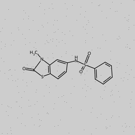 Cn1c(=O)sc2ccc(NS(=O)(=O)c3ccccc3)cc21